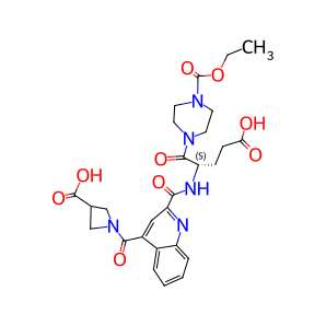 CCOC(=O)N1CCN(C(=O)[C@H](CCC(=O)O)NC(=O)c2cc(C(=O)N3CC(C(=O)O)C3)c3ccccc3n2)CC1